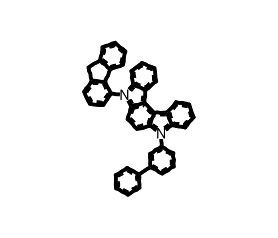 c1ccc(-c2cccc(-n3c4ccccc4c4c5c6ccccc6n(-c6cccc7c6-c6ccccc6C7)c5ccc43)c2)cc1